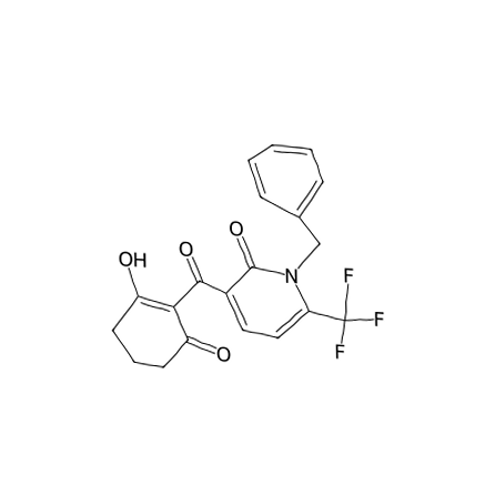 O=C1CCCC(O)=C1C(=O)c1ccc(C(F)(F)F)n(Cc2ccccc2)c1=O